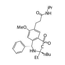 CCCC[C@]1(CC)CS(=O)(=O)c2cc(CCC(=O)NC(C)C)c(OC)cc2[C@@H](c2ccccc2)N1